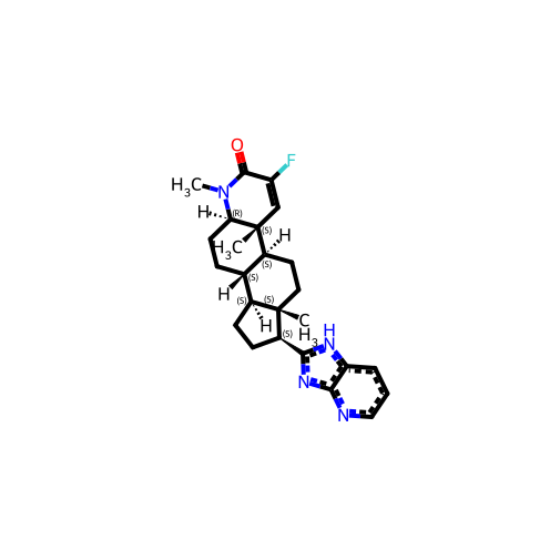 CN1C(=O)C(F)=C[C@]2(C)[C@H]3CC[C@]4(C)[C@@H](c5nc6ncccc6[nH]5)CC[C@H]4[C@@H]3CC[C@@H]12